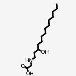 CCCCCCCCCCCC(O)CCNCC(=O)O